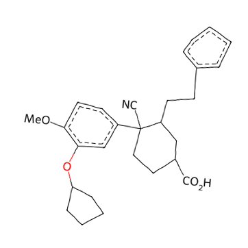 COc1ccc(C2(C#N)CCC(C(=O)O)CC2CCc2ccccc2)cc1OC1CCCC1